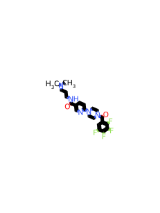 CN(C)CCCNC(=O)c1ccc(N2CCN(C(=O)c3cc(F)c(F)c(F)c3F)CC2)nc1